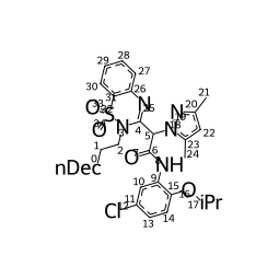 CCCCCCCCCCCCN1C(C(C(=O)Nc2cc(Cl)ccc2OC(C)C)n2nc(C)cc2C)=Nc2ccccc2S1(=O)=O